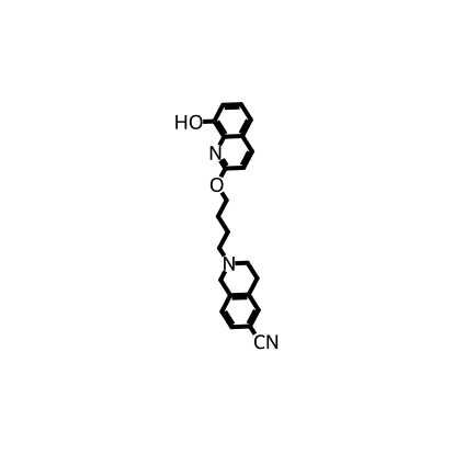 N#Cc1ccc2c(c1)CCN(CCCCOc1ccc3cccc(O)c3n1)C2